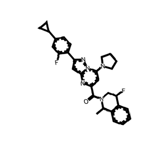 CC1c2ccccc2C(F)CN1C(=O)c1cc(N2CCCC2)n2nc(-c3ccc(C4CC4)cc3F)cc2n1